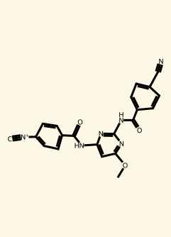 [C-]#[N+]c1ccc(C(=O)Nc2cc(OC)nc(NC(=O)c3ccc(C#N)cc3)n2)cc1